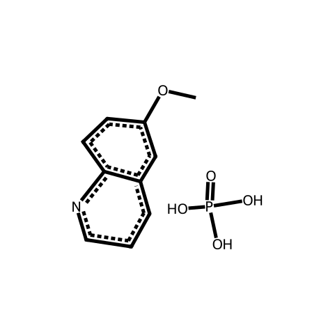 COc1ccc2ncccc2c1.O=P(O)(O)O